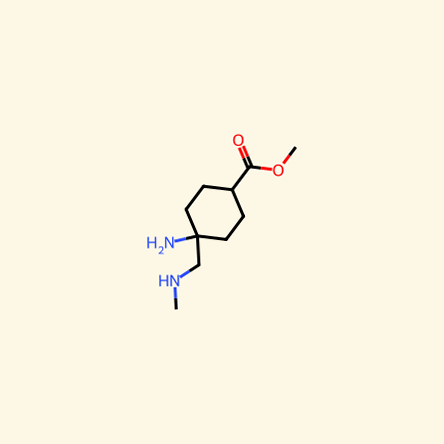 CNCC1(N)CCC(C(=O)OC)CC1